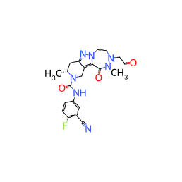 C[C@@H]1Cc2nn3c(c2CN1C(=O)Nc1ccc(F)c(C#N)c1)C(=O)N(C)N(CC=O)CC3